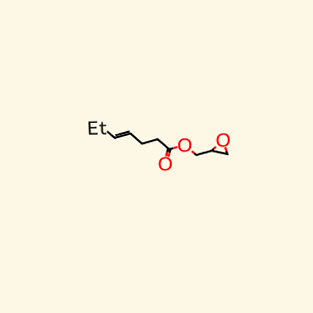 CC/C=C/CCC(=O)OCC1CO1